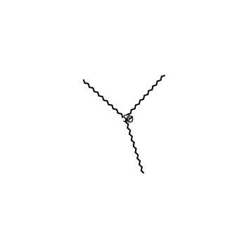 CCCCCCCCCCCCCCCCCC[Si](CCCCCCCCCCCCCCCCCC)(CCCCCCCCCCCCCCCCCC)OC